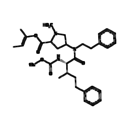 CC=C(C)OC(=O)C1CC(N(CCc2ccccc2)C(=O)[C@@H](NC(=O)OC(C)(C)C)C(C)CCc2ccccc2)CN1C(=O)O